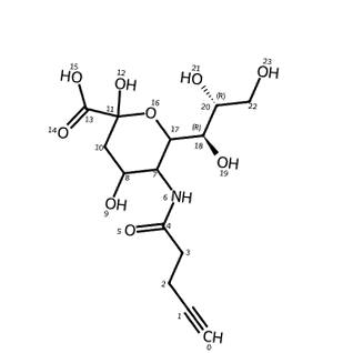 C#CCCC(=O)NC1C(O)CC(O)(C(=O)O)OC1[C@H](O)[C@H](O)CO